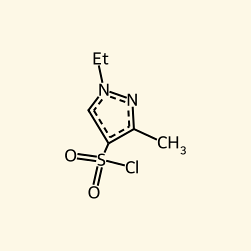 CCn1cc(S(=O)(=O)Cl)c(C)n1